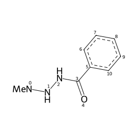 CNNNC(=O)c1ccccc1